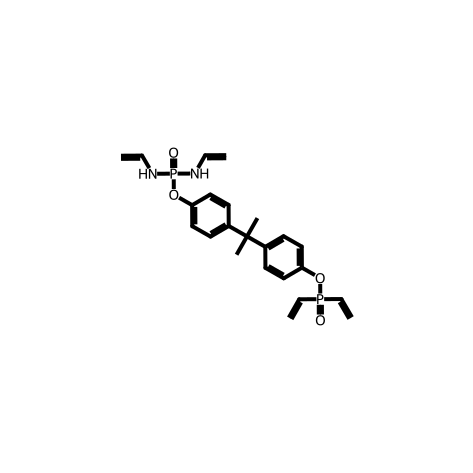 C=CNP(=O)(NC=C)Oc1ccc(C(C)(C)c2ccc(OP(=O)(C=C)C=C)cc2)cc1